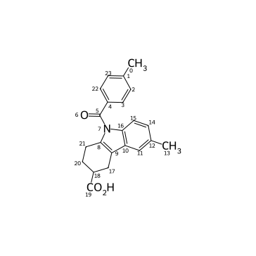 Cc1ccc(C(=O)n2c3c(c4cc(C)ccc42)CC(C(=O)O)CC3)cc1